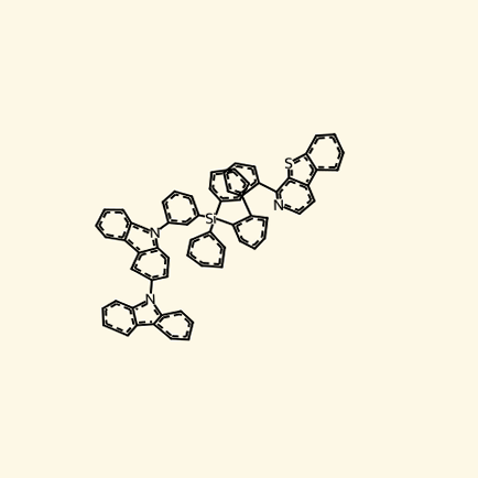 c1ccc([Si](c2ccccc2)(c2cccc(-n3c4ccccc4c4cc(-n5c6ccccc6c6ccccc65)ccc43)c2)c2ccccc2-c2ccccc2-c2nccc3c2sc2ccccc23)cc1